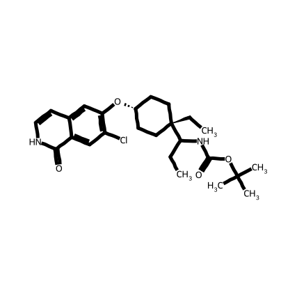 CCC(NC(=O)OC(C)(C)C)[C@]1(CC)CC[C@H](Oc2cc3cc[nH]c(=O)c3cc2Cl)CC1